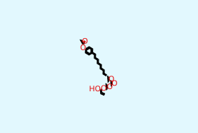 C1CO1.C1CO1.C1CO1.C=CC(=O)O.CCCCCCCCCc1ccc(OC2CO2)cc1